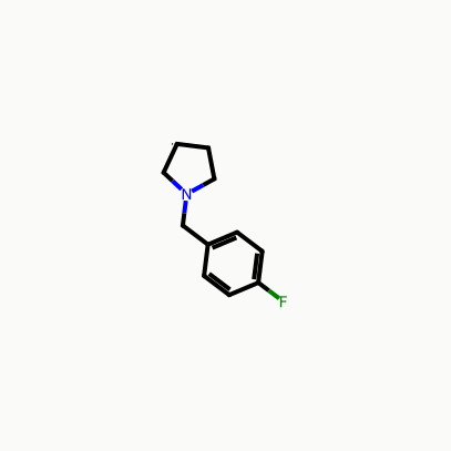 Fc1ccc(CN2C[CH]CC2)cc1